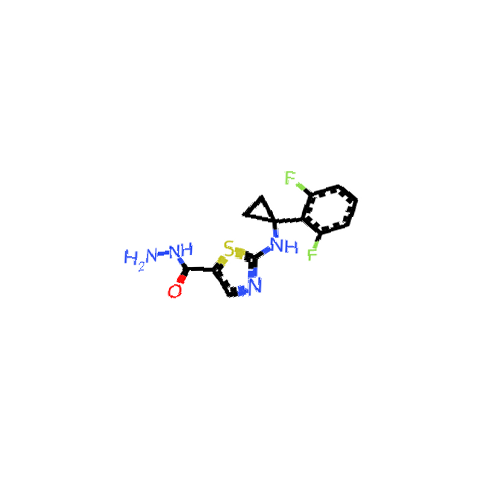 NNC(=O)c1cnc(NC2(c3c(F)cccc3F)CC2)s1